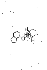 c1cc2c(c(O[C@@H]3C[C@H]4CCC[C@@H](C3)N4)c1)CCC2